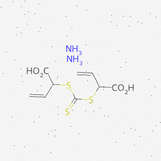 C=CC(SC(=S)SC(C=C)C(=O)O)C(=O)O.N.N